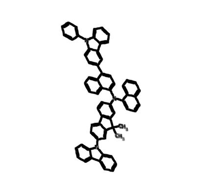 CC1(C)c2cc(N(c3cccc4ccccc34)c3ccc(-c4ccc5c(c4)c4ccccc4n5-c4ccccc4)c4ccccc34)ccc2-c2ccc(-n3c4ccccc4c4ccccc43)cc21